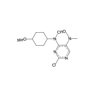 COC1CCC(N(C=O)c2nc(Cl)ncc2N(C)C)CC1